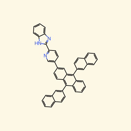 c1ccc2cc(-c3c4ccccc4c(-c4ccc5ccccc5c4)c4cc(-c5ccc(-c6nc7ccccc7[nH]6)nc5)ccc34)ccc2c1